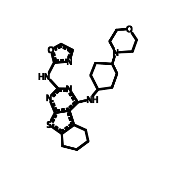 c1coc(Nc2nc(NC3CCC(N4CCOCC4)CC3)c3c4c(sc3n2)CCCC4)n1